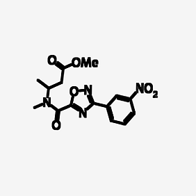 COC(=O)CC(C)N(C)C(=O)c1nc(-c2cccc([N+](=O)[O-])c2)no1